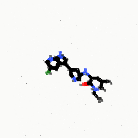 CC(C)=CC(Nc1cncc(-c2c[nH]c3ncc(Cl)cc23)c1)C(=O)NCC(F)(F)F